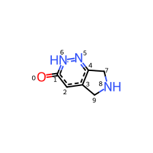 O=c1cc2c(n[nH]1)CNC2